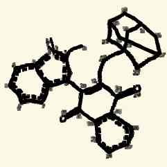 Cc1[nH]c2ccccc2c1C1=C(CC23CC4CC(CC(C4)C2)C3)C(=O)c2ccccc2C1=O